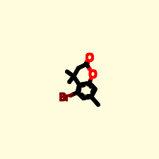 Cc1cc(Br)c2c(c1)OC(=O)CC2(C)C